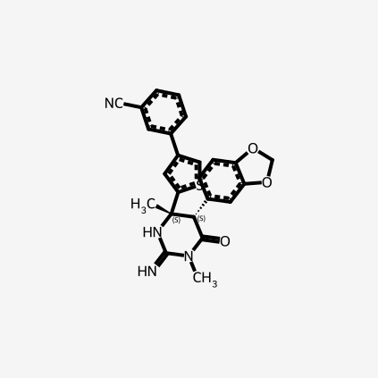 CN1C(=N)N[C@](C)(c2cc(-c3cccc(C#N)c3)cs2)[C@H](c2ccc3c(c2)OCO3)C1=O